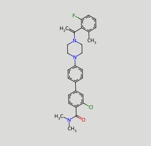 C=C(c1c(C)cccc1F)N1CCN(c2ccc(-c3ccc(C(=O)N(C)C)c(Cl)c3)cc2)CC1